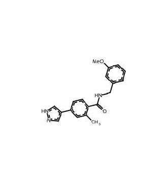 COc1cccc(CNC(=O)c2ccc(-c3cn[nH]c3)cc2C)c1